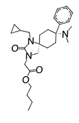 CCCCOC(=O)CN1C[C@]2(CC[C@@](c3ccccc3)(N(C)C)CC2)N(CC2CC2)C1=O